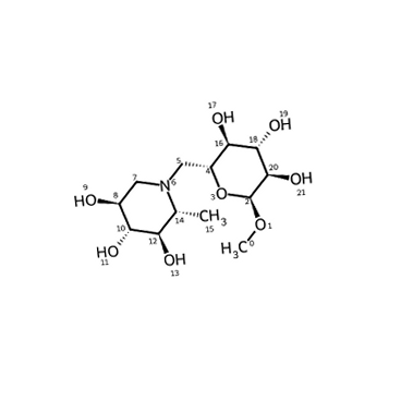 CO[C@H]1O[C@H](CN2C[C@H](O)[C@@H](O)[C@H](O)[C@H]2C)[C@@H](O)[C@H](O)[C@H]1O